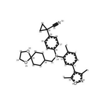 Cc1ccc(-c2c(C)noc2C)cc1N(CC1CCC2(CC1)OCCO2)c1ccc(C2(C#N)CC2)cc1